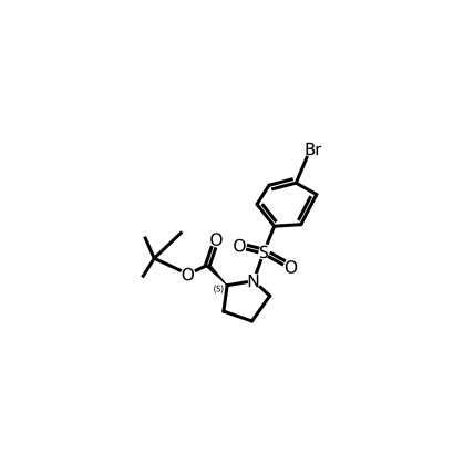 CC(C)(C)OC(=O)[C@@H]1CCCN1S(=O)(=O)c1ccc(Br)cc1